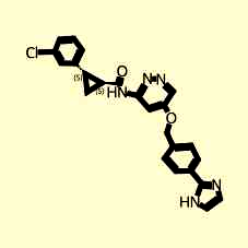 O=C(Nc1cc(OCc2ccc(-c3ncc[nH]3)cc2)cnn1)[C@H]1C[C@@H]1c1cccc(Cl)c1